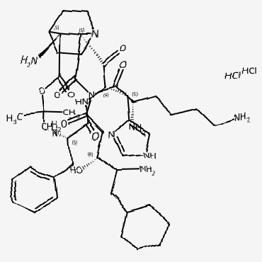 CC(C)(C)OC(=O)[C@]1(N)C2CCN(CC2)[C@@]1(C(=O)[C@H](Cc1c[nH]cn1)NC(=O)[C@@H](N)Cc1ccccc1)C(=O)N(C(=O)C[C@@H](O)C(N)CC1CCCCC1)C(=O)[C@@H](N)CCCCN.Cl.Cl